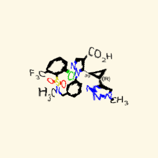 CN(Cc1cccc(-n2ncc(C(=O)O)c2[C@@H]2C[C@H]2c2cn(C)nn2)c1)S(=O)(=O)c1c(Cl)cccc1C(F)(F)F